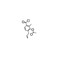 C=CCc1ccc(C(=O)Cl)c(C)c1OC(C)=O